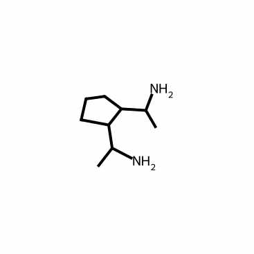 CC(N)C1CCCC1C(C)N